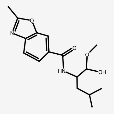 COC(O)C(CC(C)C)NC(=O)c1ccc2nc(C)oc2c1